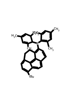 CC1=CC(C)C(B(c2ccc3ccc4c(C(C)(C)C)ccc5c4c3c2CC5)c2c(C)cc(C)cc2C)C(C)=C1